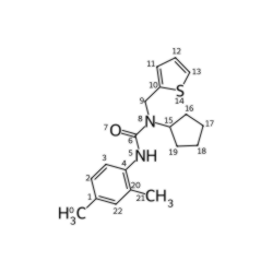 Cc1ccc(NC(=O)N(Cc2cccs2)C2CCCC2)c(C)c1